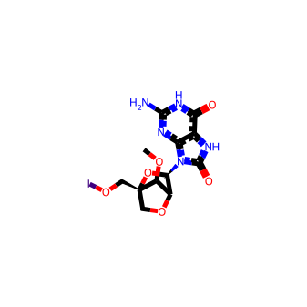 COC1C2OC[C@]1(COI)O[C@H]2n1c(=O)[nH]c2c(=O)[nH]c(N)nc21